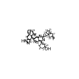 C[C@@]1(O)CCCN(c2nc(OC[C@@]34CCCN3C[C@H](F)C4)nc3c(F)c(-c4c(/C=C\Cl)c(Cl)cc5[nH]ncc45)ncc23)C1